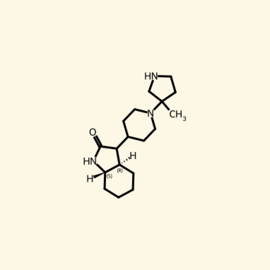 CC1(N2CCC(C3C(=O)N[C@H]4CCCC[C@H]34)CC2)CCNC1